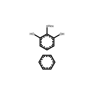 CCCCCCc1c(O)cccc1O.c1ccccc1